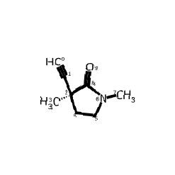 C#C[C@]1(C)CCN(C)C1=O